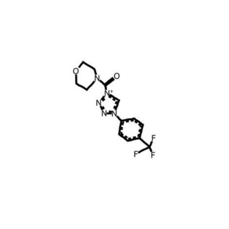 O=C(N1CCOCC1)[n+]1cn(-c2ccc(C(F)(F)F)cc2)nn1